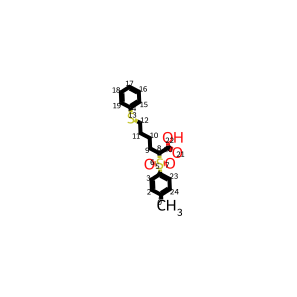 Cc1ccc(S(=O)(=O)C(CCCCSc2ccccc2)C(=O)O)cc1